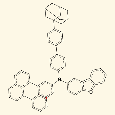 c1ccc(-c2cccc3cccc(-c4cccc(N(c5ccc(-c6ccc(C78CC9CC(CC(C9)C7)C8)cc6)cc5)c5ccc6oc7ccccc7c6c5)c4)c23)cc1